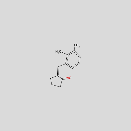 Cc1cccc(/C=C2/CCCC2=O)c1C